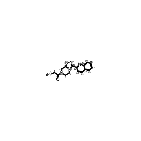 CC(C)CC(=O)N1CCn2c(nnc2-c2ccc3ccccc3n2)C1